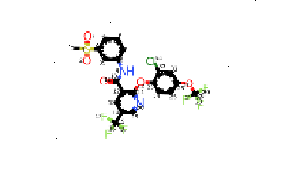 CS(=O)(=O)c1cccc(NC(=O)c2cc(C(F)(F)F)cnc2Oc2ccc(OC(F)(F)F)cc2Cl)c1